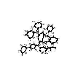 C[Si]1(C)c2cccc3c2B2c4c(cc(N(c5ccccc5)c5ccccc5)cc4N(c4ccc(-c5ccccc5)cc4)c4cccc1c42)N3c1ccccc1